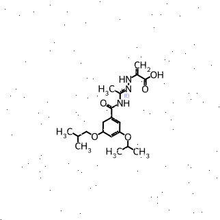 C=C(N/N=C(\C)NC(=O)C1=CC(OC(C)C)=CC(OCC(C)C)C1)C(=O)O